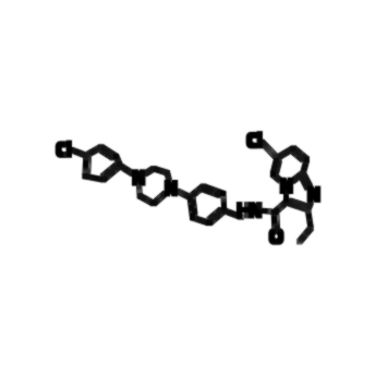 CCc1nc2ccc(Cl)cn2c1C(=O)NCc1ccc(N2CCN(c3ccc(Cl)cc3)CC2)cc1